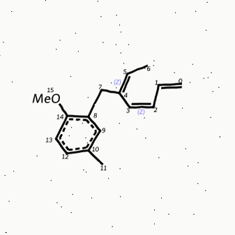 C=C/C=C\C(=C/C)Cc1cc(C)ccc1OC